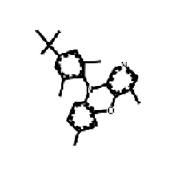 Cc1ccc2c(c1)Oc1c(C)cncc1N2c1c(C)cc(C(C)(C)C)cc1C